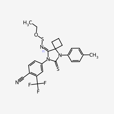 CCOS/N=C1/N(c2ccc(C#N)c(C(F)(F)F)c2)C(=S)N(c2ccc(C)cc2)C12CCC2